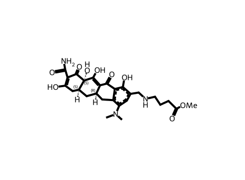 COC(=O)CCCNCc1cc(N(C)C)c2c(c1O)C(=O)C1=C(O)[C@]3(O)C(=O)C(C(N)=O)=C(O)C[C@@H]3C[C@@H]1C2